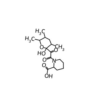 CC1CC(C)C(O)(C(=O)C(=O)N2CCCCC2C(=O)O)OC1C